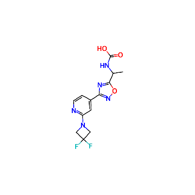 CC(NC(=O)O)c1nc(-c2ccnc(N3CC(F)(F)C3)c2)no1